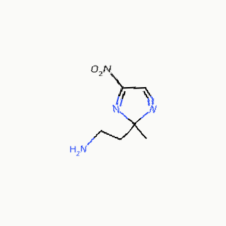 CC1(CCN)N=CC([N+](=O)[O-])=N1